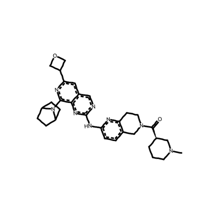 CN1CCC[C@@H](C(=O)N2CCc3nc(Nc4ncc5cc(C6COC6)nc(N6C7CCC6CC7)c5n4)ccc3C2)C1